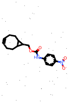 O=C(Nc1ccc([N+](=O)[O-])cc1)OCC1C2CCC#CCCC21